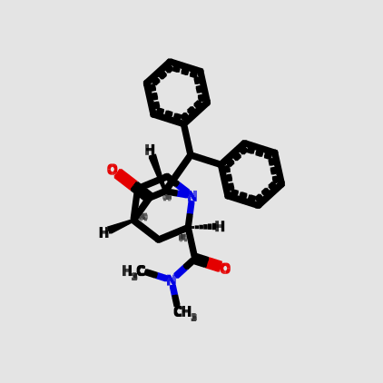 CN(C)C(=O)[C@H]1C[C@@H]2CCN1[C@@H](C(c1ccccc1)c1ccccc1)C2=O